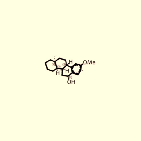 COc1[c]cc2c(c1)[C@H]1CC[C@]3(C)CCCC[C@H]3[C@@H]1C[C@@H]2O